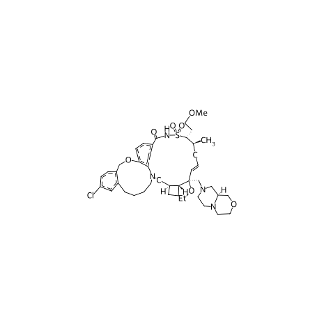 CCO[C@]1(CN2CCN3CCOC[C@@H]3C2)/C=C/C[C@H](C)[C@@H](CCOC)S(=O)(=O)NC(=O)c2ccc3c(c2)N(CCCCc2cc(Cl)ccc2CO3)C[C@@H]2CC[C@H]21